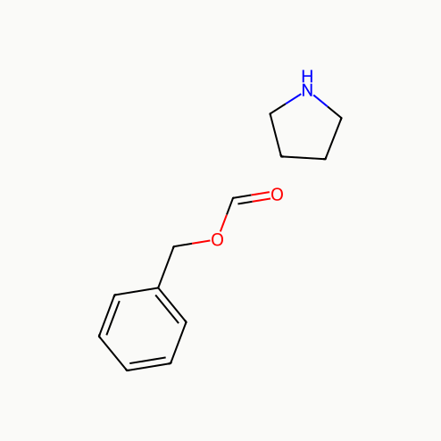 C1CCNC1.O=COCc1ccccc1